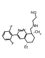 CC[C@H]1CC[C@](C)(CNCCO)c2nnc(-c3c(F)cccc3F)cc21